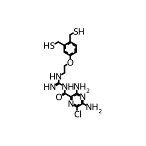 N=C(NCCOc1ccc(CS)c(CS)c1)NC(=O)c1nc(Cl)c(N)nc1N